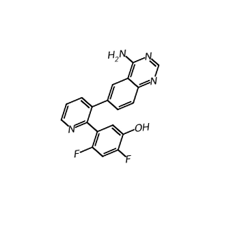 Nc1ncnc2ccc(-c3cccnc3-c3cc(O)c(F)cc3F)cc12